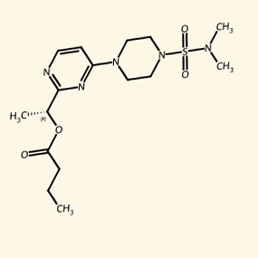 CCCC(=O)O[C@H](C)c1nccc(N2CCN(S(=O)(=O)N(C)C)CC2)n1